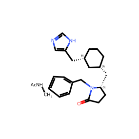 CNC(C)=O.O=C1CC[C@@H](C[C@H]2CCC[C@@H](Cc3cnc[nH]3)C2)N1Cc1ccccc1